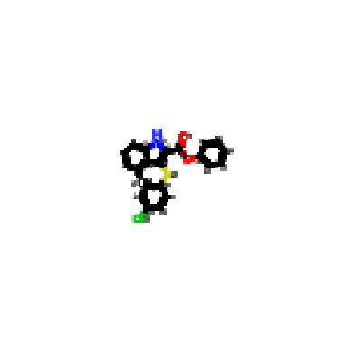 Cc1cccc2[nH]c(C(=O)Oc3ccccc3)c(Sc3ccc(Cl)cc3)c12